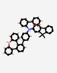 CC1(C)c2ccccc2-c2ccc(N(c3ccc(-c4cccc5c4-c4ccccc4Oc4ccccc4-5)cc3)c3ccccc3-c3ccccc3)cc21